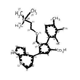 Cc1ccc(-c2c(C(=O)O)cc(-c3ccnc4[nH]ccc34)n2COCC[Si](C)(C)C)c(F)c1F